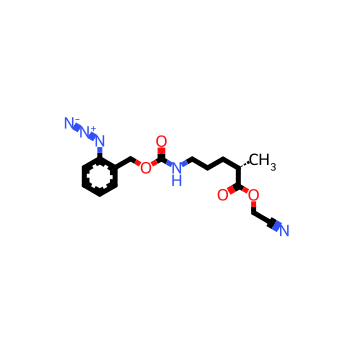 C[C@@H](CCCNC(=O)OCc1ccccc1N=[N+]=[N-])C(=O)OCC#N